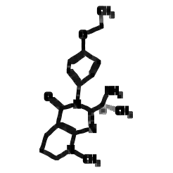 CCOc1ccc(-n2c([C@@H](C)N)nc3c(c2=O)CCCN3C)cc1